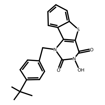 CC(C)(C)c1ccc(Cn2c(=O)n(O)c(=O)c3sc4ccccc4c32)cc1